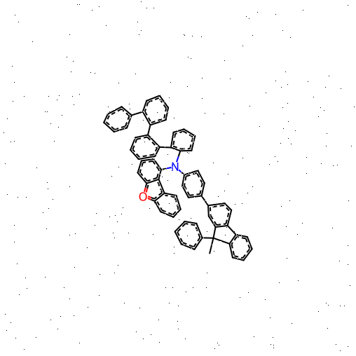 CC1(c2ccccc2)c2ccccc2-c2ccc(-c3ccc(N(c4ccccc4-c4ccccc4-c4ccccc4-c4ccccc4)c4cccc5oc6ccccc6c45)cc3)cc21